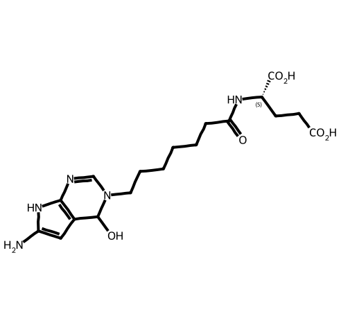 Nc1cc2c([nH]1)N=CN(CCCCCCC(=O)N[C@@H](CCC(=O)O)C(=O)O)C2O